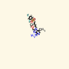 CCOCc1nc2c(N)ncc(C)c2n1CCCCCS(=O)(=O)c1ccc(F)cc1F